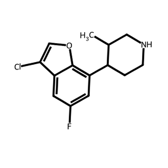 CC1CNCCC1c1cc(F)cc2c(Cl)coc12